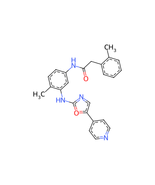 Cc1ccccc1CC(=O)Nc1ccc(C)c(Nc2ncc(-c3ccncc3)o2)c1